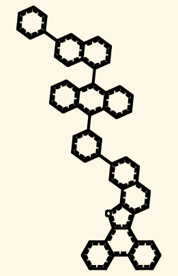 c1ccc(-c2ccc3c(-c4c5ccccc5c(-c5cccc(-c6ccc7ccc8c(oc9c%10ccccc%10c%10ccccc%10c89)c7c6)c5)c5ccccc45)cccc3c2)cc1